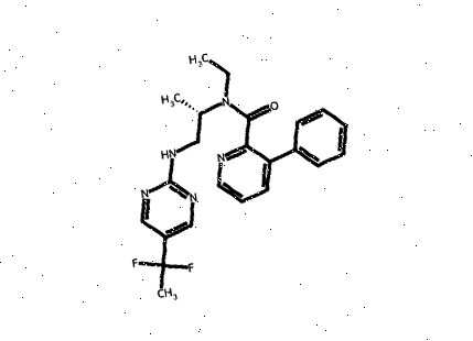 CCN(C(=O)c1ncccc1-c1ccccc1)[C@@H](C)CNc1ncc(C(C)(F)F)cn1